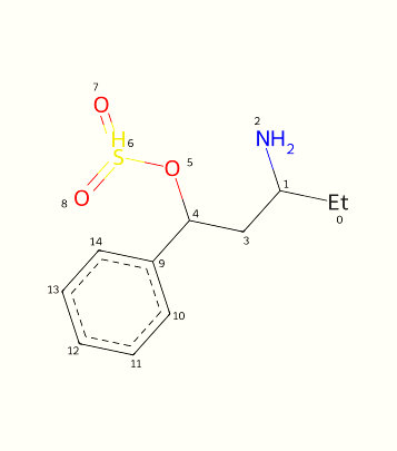 CCC(N)CC(O[SH](=O)=O)c1ccccc1